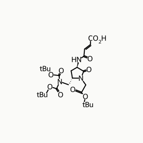 CC(C)(C)OC(=O)CN1C(=O)[C@H](NC(=O)/C=C/C(=O)O)C[C@H]1CN(C(=O)OC(C)(C)C)C(=O)OC(C)(C)C